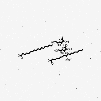 CCCCCCCCCCCCCCCCCC(=O)[O-].CCCCCCCCCCCCCCCCCC(=O)[O-].O=C1O[C@H]([C@@H](O)CO)C(O)=C1O.O=C1O[C@H]([C@@H](O)CO)C(O)=C1O.[Mg+2]